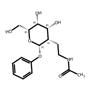 CC(=O)NCC[C@@H]1[C@H](Oc2ccccc2)O[C@H](CO)[C@H](O)[C@@H]1O